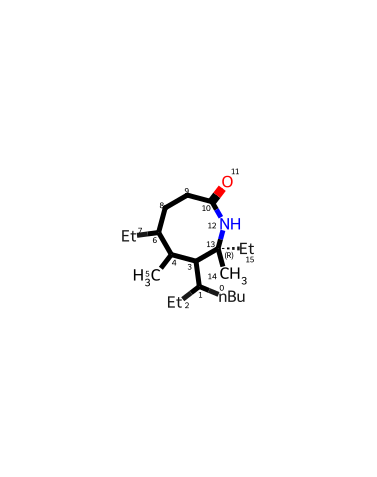 CCCCC(CC)C1C(C)C(CC)CCC(=O)N[C@]1(C)CC